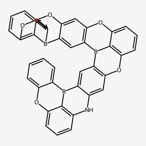 c1ccc2c(c1)Oc1cccc3c1B2c1cc2c(cc1N3)Oc1cccc3c1B2c1cc2c(cc1O3)Oc1cccc3c1B2c1ccccc1O3